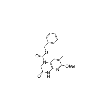 COc1nc2c(cc1C)N(C(=O)OCc1ccccc1)CC(=O)N2